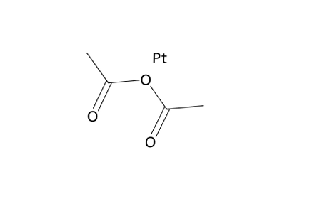 CC(=O)OC(C)=O.[Pt]